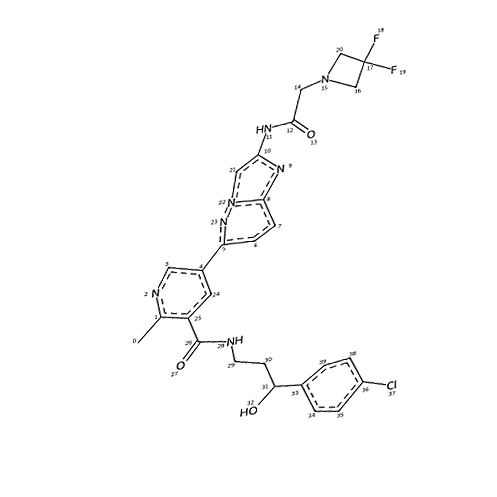 Cc1ncc(-c2ccc3nc(NC(=O)CN4CC(F)(F)C4)cn3n2)cc1C(=O)NCCC(O)c1ccc(Cl)cc1